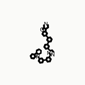 C1=Cc2c(n(-c3cccc(-c4cccc(-c5nccc(-c6cccc(-c7cccc(-c8ccc9oc%10cnccc%10c9c8)c7)c6)n5)c4)c3)c3ccccc23)CC1